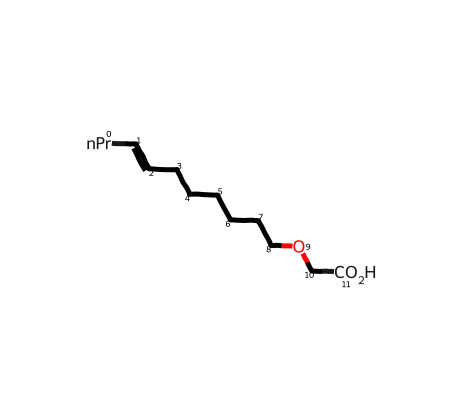 CCCC=CCCCCCCOCC(=O)O